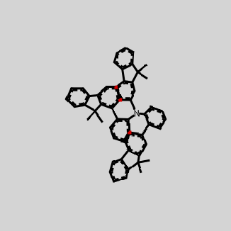 CC1(C)c2ccccc2-c2ccc(-c3ccccc3N(c3ccc4c(c3)C(C)(C)c3ccccc3-4)c3ccccc3-c3cccc4c3C(C)(C)c3ccccc3-4)cc21